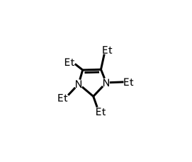 CCC1=C(CC)N(CC)C(CC)N1CC